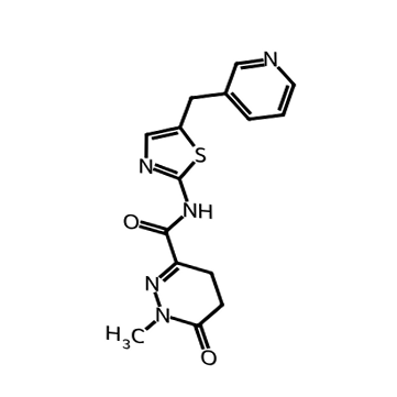 CN1N=C(C(=O)Nc2ncc(Cc3cccnc3)s2)CCC1=O